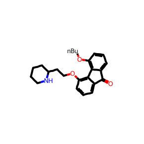 CCCCOc1cccc2c1-c1c(OCCC3CCCCN3)cccc1C2=O